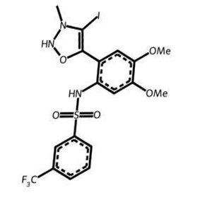 COc1cc(NS(=O)(=O)c2cccc(C(F)(F)F)c2)c(C2=C(I)N(C)NO2)cc1OC